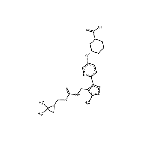 Cc1noc(-c2ccc(O[C@H]3CCC[C@H](C(=O)O)C3)cn2)c1CNC(=O)OCC1CC1(C)C